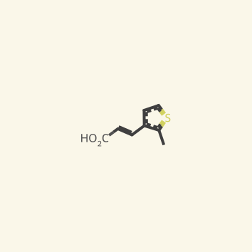 Cc1sccc1C=CC(=O)O